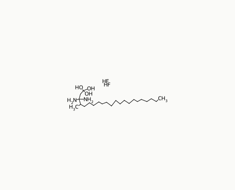 CCCCCCCCCCCCCCCCCCC(C)C(N)(N)CC(O)(O)O.F.F